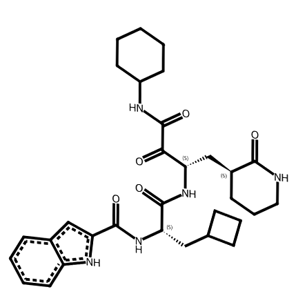 O=C(NC1CCCCC1)C(=O)[C@H](C[C@@H]1CCCNC1=O)NC(=O)[C@H](CC1CCC1)NC(=O)c1cc2ccccc2[nH]1